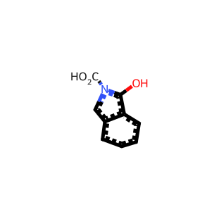 O=C(O)n1cc2ccccc2c1O